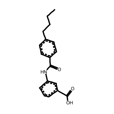 CCCCc1ccc(C(=O)Nc2cccc(C(=O)O)c2)cc1